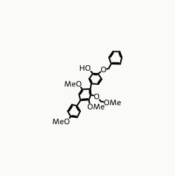 COCOc1c(OC)c(-c2ccc(OC)cc2)cc(OC)c1-c1ccc(OCc2ccccc2)c(O)c1